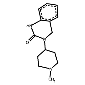 CN1CCC(N2Cc3ccccc3NC2=O)CC1